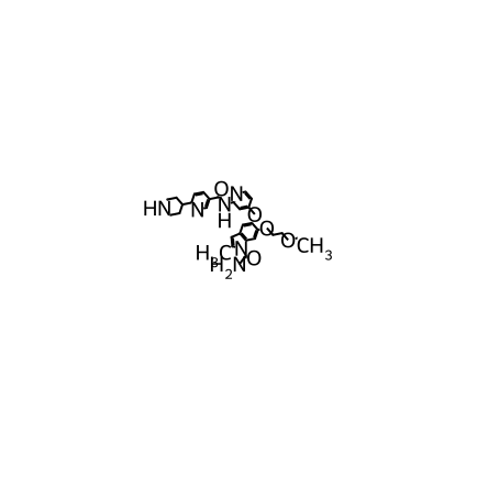 CCOCCOc1cc2c(cc1Oc1ccnc(NC(=O)c3ccc(C4CCNCC4)nc3)c1)cc(C)n2C(N)=O